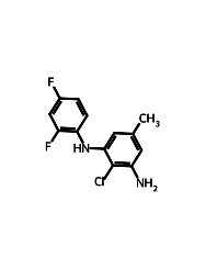 Cc1cc(N)c(Cl)c(Nc2ccc(F)cc2F)c1